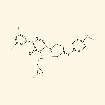 COc1ccc(SN2CCN(c3cnn(-c4cc(F)cc(F)c4)c(=O)c3OCC3CC3C)CC2)cc1